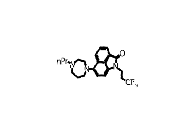 CCCN1CCCN(c2ccc3c4c(cccc24)C(=O)N3CCC(F)(F)F)CC1